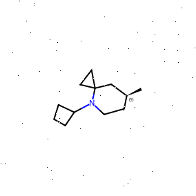 C[C@H]1CCN(C2CCC2)C2(CC2)C1